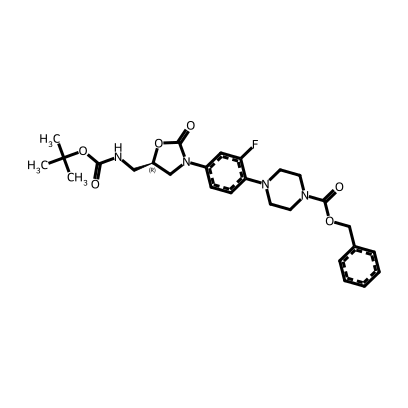 CC(C)(C)OC(=O)NC[C@@H]1CN(c2ccc(N3CCN(C(=O)OCc4ccccc4)CC3)c(F)c2)C(=O)O1